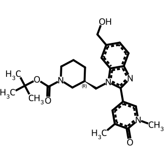 Cc1cc(-c2nc3ccc(CO)cc3n2C[C@@H]2CCCN(C(=O)OC(C)(C)C)C2)cn(C)c1=O